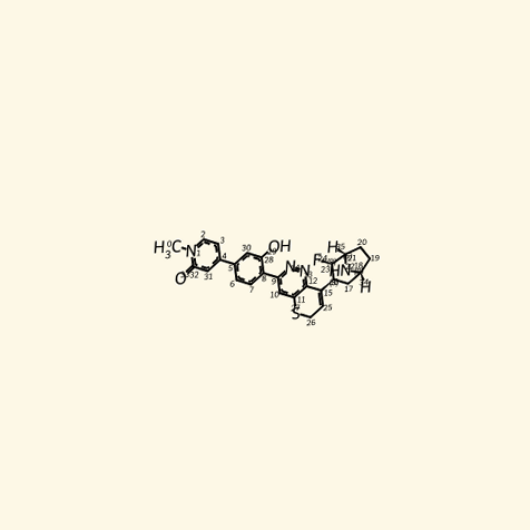 Cn1ccc(-c2ccc(-c3cc4c(nn3)C([C@@H]3C[C@H]5CC[C@H](N5)[C@@H]3F)=CCS4)c(O)c2)cc1=O